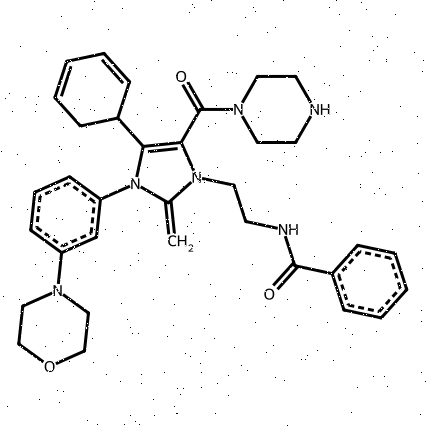 C=C1N(CCNC(=O)c2ccccc2)C(C(=O)N2CCNCC2)=C(C2C=CC=CC2)N1c1cccc(N2CCOCC2)c1